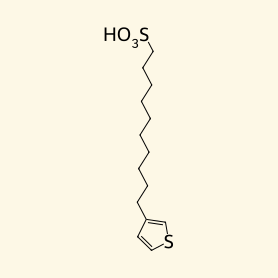 O=S(=O)(O)CCCCCCCCCCc1ccsc1